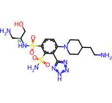 NCCC1CCN(c2ccc(S(=O)(=O)N[C@@H](CN)CO)c(S(N)(=O)=O)c2-c2nn[nH]n2)CC1